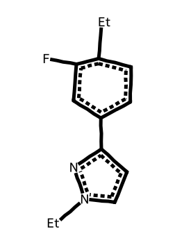 CCc1ccc(-c2ccn(CC)n2)cc1F